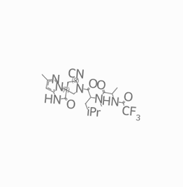 Cc1cc2n(n1)[C@@]1(C[C@@H](C#N)N(C(=O)C(CC(C)C)N(C)C(=O)C(C)NC(=O)C(F)(F)F)C1)C(=O)N2